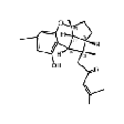 CC(C)=CC(=O)C[C@]1(C)[C@@H]2c3c(O)cc(C)cc3O[C@]3(C)CC[C@H]1[C@H]23